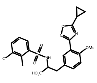 COc1ccc(CC(NS(=O)(=O)c2cccc(Cl)c2C)C(=O)O)cc1-c1noc(C2CC2)n1